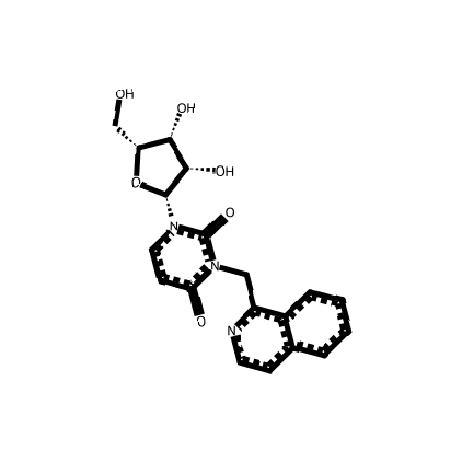 O=c1ccn([C@@H]2O[C@H](CO)[C@H](O)[C@@H]2O)c(=O)n1Cc1nccc2ccccc12